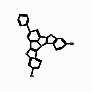 Oc1ccc2c(c1)oc1c3cc(-c4ccccc4)cc4c5oc6cc(O)ccc6c5n(c34)c21